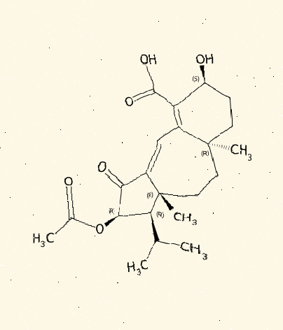 CC(=O)O[C@H]1C(=O)C2=CC3=C(C(=O)O)[C@@H](O)CC[C@@]3(C)CC[C@]2(C)[C@H]1C(C)C